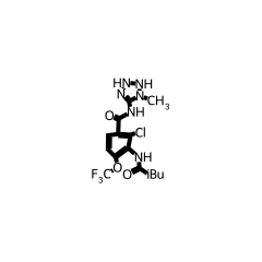 CCC(C)C(=O)Nc1c(OC(F)(F)F)ccc(C(=O)NC2=NNNN2C)c1Cl